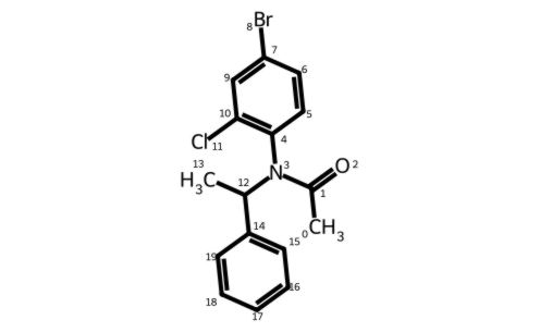 CC(=O)N(c1ccc(Br)cc1Cl)C(C)c1ccccc1